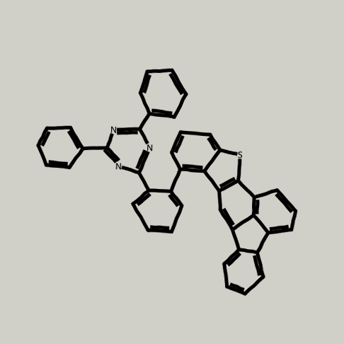 c1ccc(-c2nc(-c3ccccc3)nc(-c3ccccc3-c3cccc4sc5c6cccc7c6c(cc5c34)-c3ccccc3-7)n2)cc1